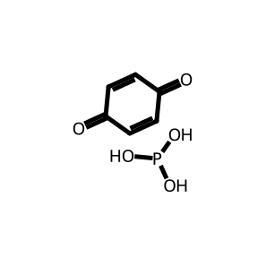 O=C1C=CC(=O)C=C1.OP(O)O